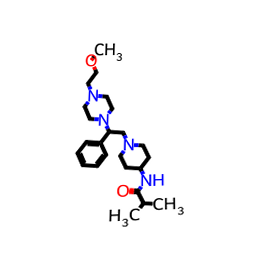 COCCN1CCN(C(CN2CCC(NC(=O)C(C)C)CC2)c2ccccc2)CC1